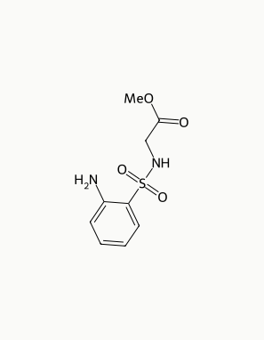 COC(=O)CNS(=O)(=O)c1ccccc1N